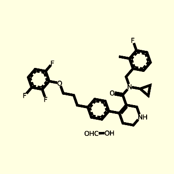 Cc1c(F)cccc1CN(C(=O)C1=C(c2ccc(CCCOc3c(F)ccc(F)c3F)cc2)CCNC1)C1CC1.O=CO